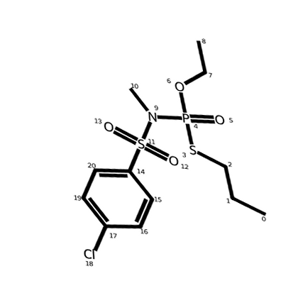 CCCSP(=O)(OCC)N(C)S(=O)(=O)c1ccc(Cl)cc1